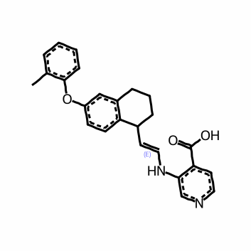 Cc1ccccc1Oc1ccc2c(c1)CCCC2/C=C/Nc1cnccc1C(=O)O